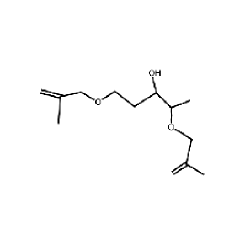 C=C(C)COCCC(O)C(C)OCC(=C)C